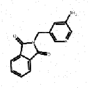 Bc1cncc(CN2C(=O)c3ccccc3C2=O)c1